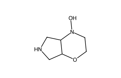 ON1CCOC2CNCC21